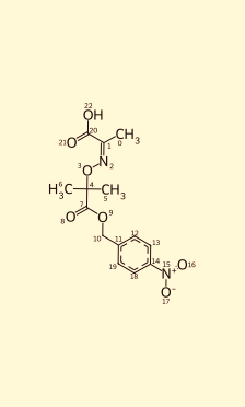 C/C(=N/OC(C)(C)C(=O)OCc1ccc([N+](=O)[O-])cc1)C(=O)O